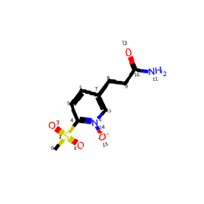 CS(=O)(=O)c1ccc(CCC(N)=O)c[n+]1[O-]